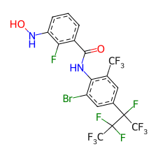 O=C(Nc1c(Br)cc(C(F)(C(F)(F)F)C(F)(F)C(F)(F)F)cc1C(F)(F)F)c1cccc(NO)c1F